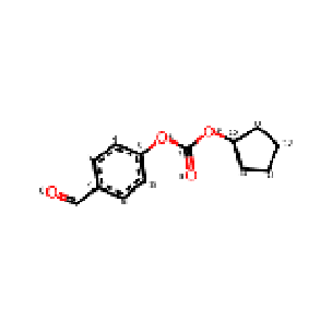 O=Cc1ccc(OC(=O)OC2CCCC2)cc1